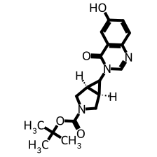 CC(C)(C)OC(=O)N1C[C@@H]2C(n3cnc4ccc(O)cc4c3=O)[C@@H]2C1